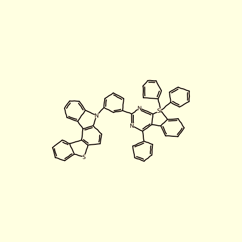 c1ccc(-c2nc(-c3cccc(-n4c5ccccc5c5c6c(ccc54)sc4ccccc46)c3)nc3c2-c2ccccc2[Si]3(c2ccccc2)c2ccccc2)cc1